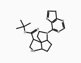 CC(C)(C)OC(=O)C1CNC2CCC3N(c4ncnc5c4N=CC5)CCC213